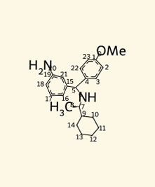 COc1ccc(C(N[C@H](C)C2CCCCC2)c2cccc(N)c2)cc1